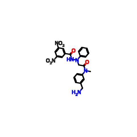 CN(C(=O)CN(NC(=O)c1cc([N+](=O)[O-])cc([N+](=O)[O-])c1)c1ccccc1)c1cccc(CN)c1